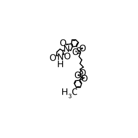 Cc1ccc(S(=O)(=O)OCCCCCCS(=O)(=O)c2cccc3c2CN(C2CCC(=O)NC2=O)C3=O)cc1